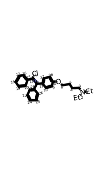 CCN(CC)CCCCOc1ccc(/C(=C(\Cl)c2ccccc2)c2ccccc2)cc1